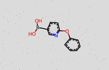 OB(O)c1ccc(Oc2ccccc2)nc1